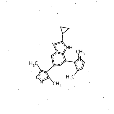 Cc1ccn(C)c1-c1cc(-c2c(C)noc2C)cc2nc(C3CC3)[nH]c12